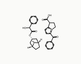 CN1[C@@H]2CC[C@H]1C[C@@H](OC(=O)C(O)c1ccccc1)C2.O=C(c1ccccc1)c1ccc2n1CCC2C(=O)O